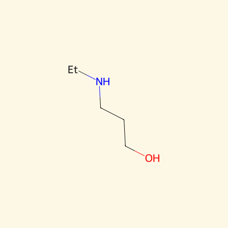 [CH2]CNCCCO